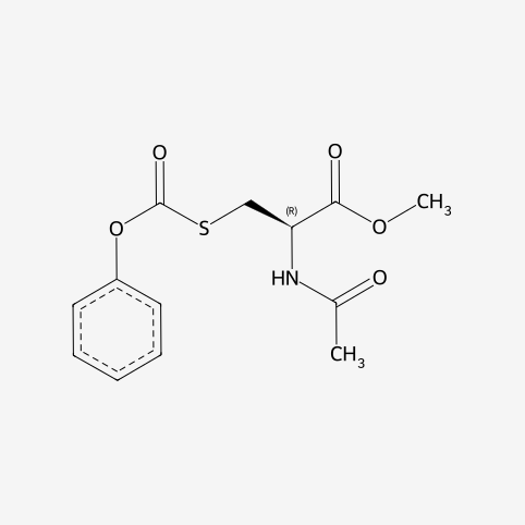 COC(=O)[C@H](CSC(=O)Oc1ccccc1)NC(C)=O